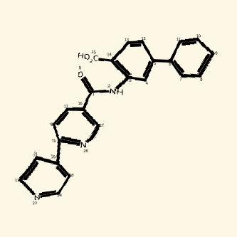 O=C(Nc1cc(-c2ccccc2)ccc1C(=O)O)c1ccc(-c2ccncc2)nc1